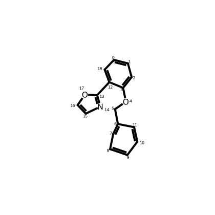 [c]1ccc(OCc2ccccc2)c(-c2ncco2)c1